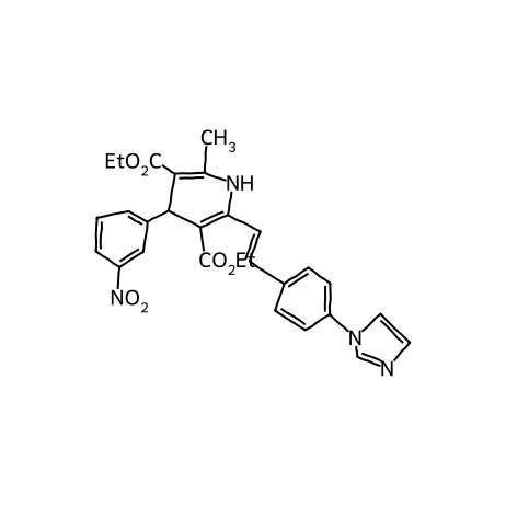 CCOC(=O)C1=C(C)NC(C=Cc2ccc(-n3ccnc3)cc2)=C(C(=O)OCC)C1c1cccc([N+](=O)[O-])c1